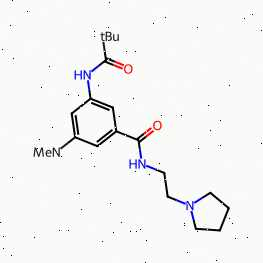 CNc1cc(NC(=O)C(C)(C)C)cc(C(=O)NCCN2CCCC2)c1